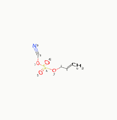 C=CCOS(=O)(=O)OC#N